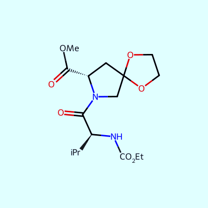 CCOC(=O)N[C@H](C(=O)N1CC2(C[C@H]1C(=O)OC)OCCO2)C(C)C